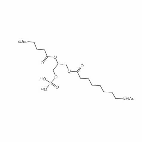 CCCCCCCCCCCCCC(=O)O[C@H](COC(=O)CCCCCCCNC(C)=O)COP(=O)(O)O